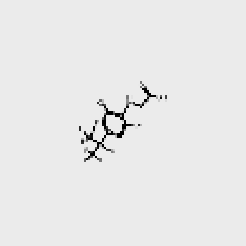 O=C(O)CNc1c(Cl)cc(C(O)(C(F)(F)F)C(F)(F)F)cc1Cl